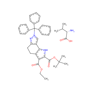 CC(C)[C@H](N)C(=O)O.CCOC(=O)c1c(C(=O)OC(C)(C)C)[nH]c2c1CCc1nn(C(c3ccccc3)(c3ccccc3)c3ccccc3)cc1-2